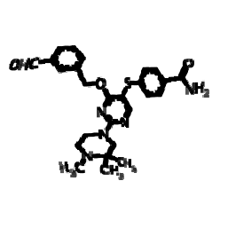 CN1CCN(c2ncc(Sc3ccc(C(N)=O)cc3)c(OCc3cccc(C=O)c3)n2)CC1(C)C